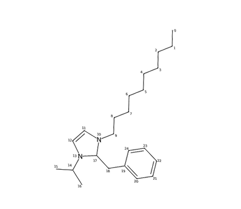 CCCCCCCCCCN1C=CN(C(C)C)C1Cc1ccccc1